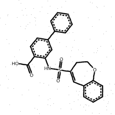 O=C(O)c1ccc(-c2ccccc2)cc1NS(=O)(=O)C1=Cc2ccccc2OCC1